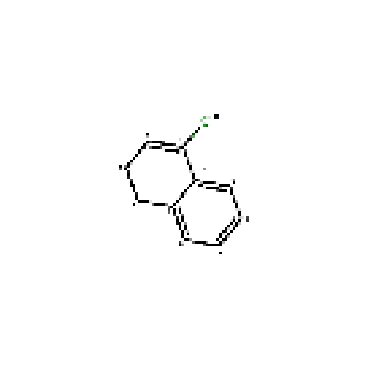 ClC1=CCCc2ccccc21